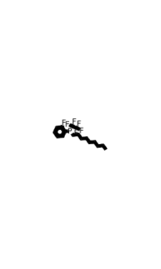 CCCCCCCCCP(c1ccccc1F)C(F)(F)C(F)(F)F